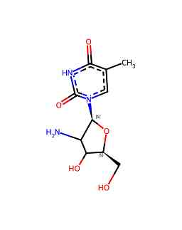 Cc1cn([C@H]2O[C@@H](CO)C(O)C2N)c(=O)[nH]c1=O